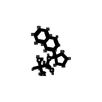 CCC(C)(C(=O)OC1(c2ccc3ccccc3c2)CCCC1)C(F)(F)F